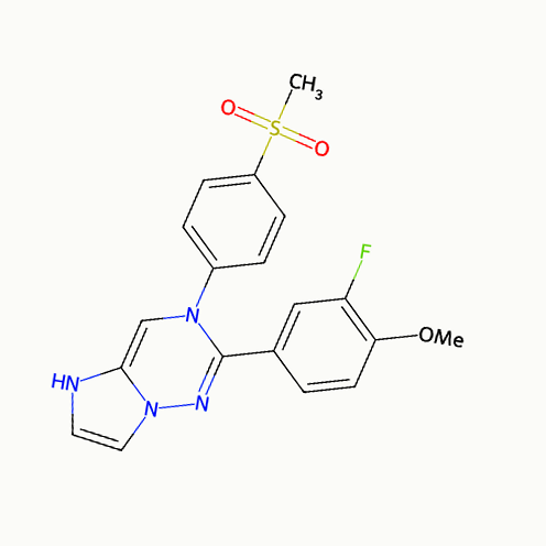 COc1ccc(C2=NN3C=CNC3=CN2c2ccc(S(C)(=O)=O)cc2)cc1F